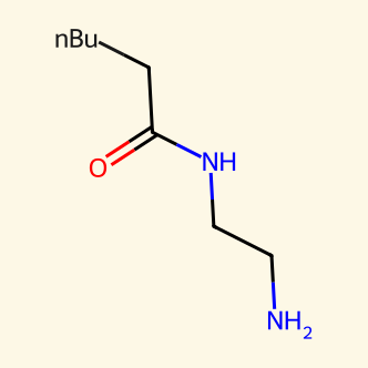 CCCCCC(=O)NCCN